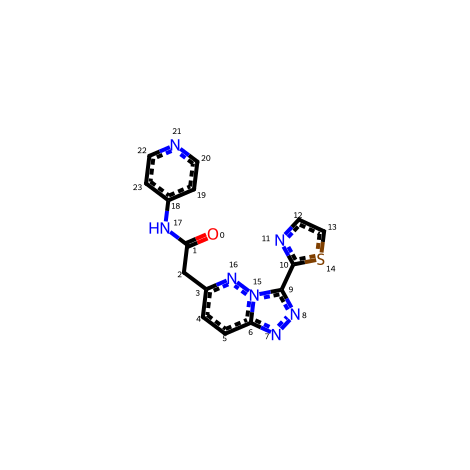 O=C(Cc1ccc2nnc(-c3nccs3)n2n1)Nc1ccncc1